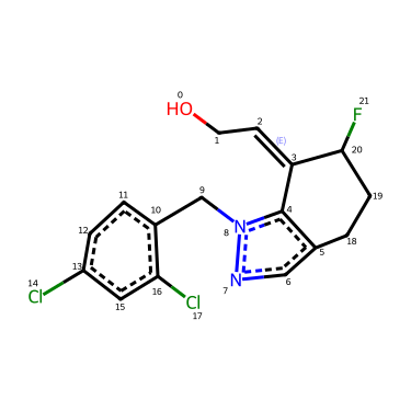 OC/C=C1\c2c(cnn2Cc2ccc(Cl)cc2Cl)CCC1F